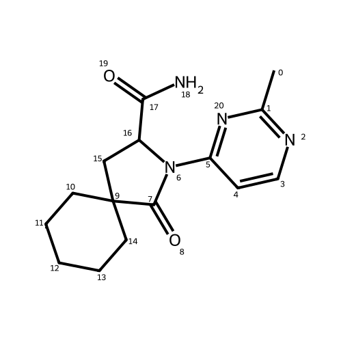 Cc1nccc(N2C(=O)C3(C[CH]CCC3)CC2C(N)=O)n1